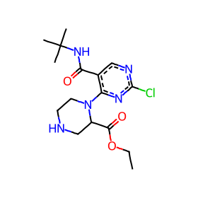 CCOC(=O)C1CNCCN1c1nc(Cl)ncc1C(=O)NC(C)(C)C